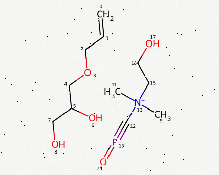 C=CCOCC(O)CO.C[N+](C)(C#P=O)CCO